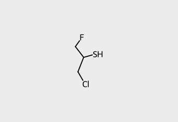 FCC(S)CCl